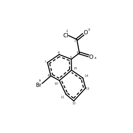 O=C(Cl)C(=O)c1ccc(Br)c2ccccc12